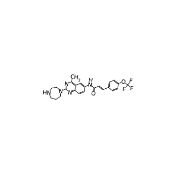 Cc1nc(N2CCCNCC2)nc2ccc(NC(=O)C=Cc3ccc(OC(F)(F)F)cc3)cc12